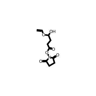 C=COC(O)CCC(=O)ON1C(=O)CCC1=O